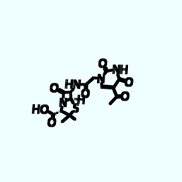 CC(=O)c1cn(CC(=O)N[C@@H]2C(=O)N3[C@@H]2SC(C)(C)[C@@H]3C(=O)O)c(=O)[nH]c1=O